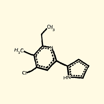 CCc1nc(-c2ccc[nH]2)cc(Cl)c1C